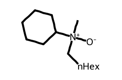 CCCCCCC[N+](C)([O-])C1CCCCC1